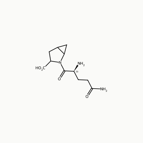 NC(=O)CC[C@H](N)C(=O)N1C(C(=O)O)CC2CC21